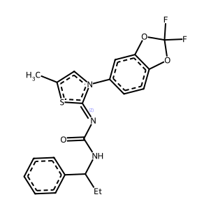 CCC(NC(=O)/N=c1\sc(C)cn1-c1ccc2c(c1)OC(F)(F)O2)c1ccccc1